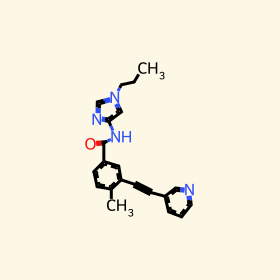 CCCn1cnc(NC(=O)c2ccc(C)c(C#Cc3cccnc3)c2)c1